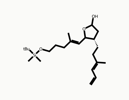 C=C/C=C(\C)CC[C@H]1CC(O)OC1/C=C(\C)CCCO[Si](C)(C)C(C)(C)C